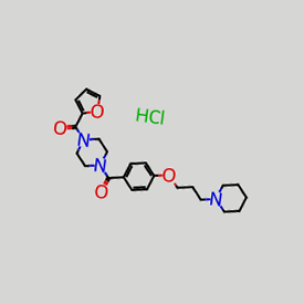 Cl.O=C(c1ccc(OCCCN2CCCCC2)cc1)N1CCN(C(=O)c2ccco2)CC1